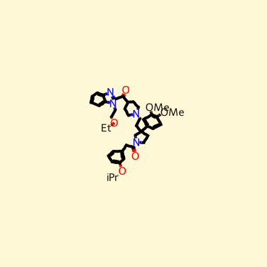 CCOCCn1c(C(=O)C2CCN(CCC3(c4ccc(OC)c(OC)c4)CCN(C(=O)Cc4cccc(OC(C)C)c4)C3)CC2)nc2ccccc21